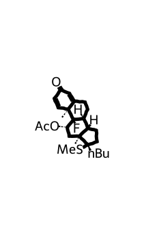 CCCC[C@]1(SC)CC[C@H]2[C@@H]3CCC4=CC(=O)C=C[C@]4(C)[C@@]3(F)[C@@H](OC(C)=O)C[C@@]21C